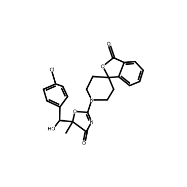 CC1(C(O)c2ccc(Cl)cc2)OC(N2CCC3(CC2)OC(=O)c2ccccc23)=NC1=O